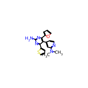 CN(C)c1cc(-c2c(-c3ccco3)nc(N)nc2-c2cccs2)ccn1